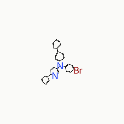 Brc1ccc(N(c2ccc(-c3ccccc3)cc2)c2ccc(-c3ccccc3)nc2)cc1